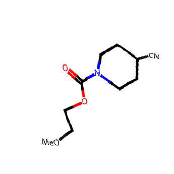 COCCOC(=O)N1CCC(C#N)CC1